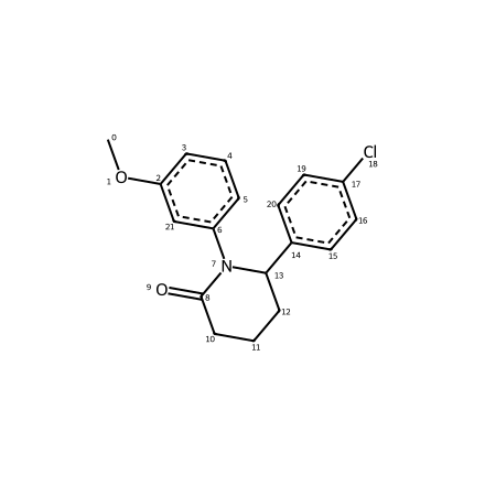 COc1cccc(N2C(=O)CCCC2c2ccc(Cl)cc2)c1